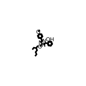 CCCCC(CC)COc1nc(-c2ccc(OC)cc2)nc(-c2ccccc2O)n1